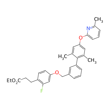 CCOC(=O)CCc1ccc(OCc2cccc(-c3c(C)cc(Oc4cccc(C)n4)cc3C)c2)cc1F